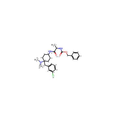 CC(NC(=O)OCc1ccccc1)C(=O)NC1CCC(Cc2cccc(Cl)c2)(N(C)C)CC1